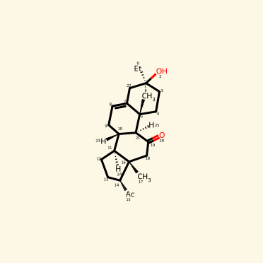 CC[C@]1(O)CC[C@@]2(C)C(=CC[C@H]3[C@@H]4CC[C@H](C(C)=O)[C@@]4(C)CC(=O)[C@@H]32)C1